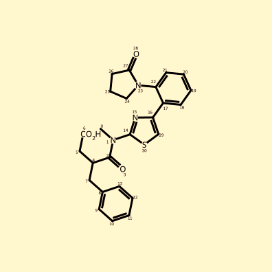 CN(C(=O)C(CC(=O)O)Cc1ccccc1)c1nc(-c2ccccc2N2CCCC2=O)cs1